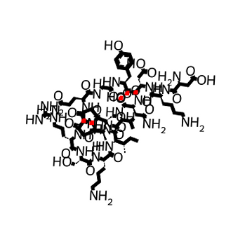 CC[C@H](C)[C@H](NC(=O)[C@H](CCCCN)NC(=O)[C@H](CO)NC(=O)[C@H](CCCNC(=N)N)NC(=O)[C@@H]1CCCN1C(=O)[C@H](C)NC(=O)[C@@H](NC(=O)[C@H](CC(N)=O)NC(=O)[C@H](CC(=O)O)NC(=O)[C@H](CCCCN)NC(=O)[C@@H](N)CC(=O)O)C(C)C)C(=O)N[C@@H](CO)C(=O)N1CCC[C@H]1C(=O)N[C@@H](CCC(N)=O)C(=O)NCC(=O)N[C@@H](Cc1ccc(O)cc1)C(=O)O